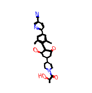 Cc1cc(-c2ccc(C#N)cn2)cc(C)c1C1C(=O)CC(C2CCN(C(=O)C(C)O)CC2)CC1=O